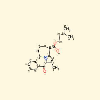 Cc1cc2n(c1C(=O)c1ccccc1)CCCCC2C(=O)OCCC(C)C